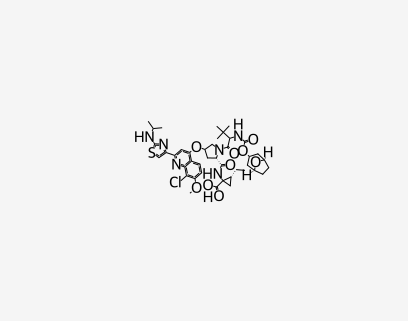 CC[C@@H]1C[C@]1(NC(=O)[C@@H]1CC(Oc2cc(-c3csc(NC(C)C)n3)nc3c(Cl)c(OC)ccc23)CN1C(=O)C(NC(=O)OC1C[C@H]2CC[C@@H](C1)O2)C(C)(C)C)C(=O)O